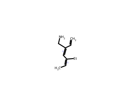 C=C/C(=C\C(=C/C)CC)CN